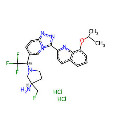 CC(C)Oc1cccc2ccc(-c3nnc4ccc([C@@H](N5CC[C@](N)(CF)C5)C(F)(F)F)cn34)nc12.Cl.Cl